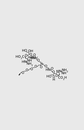 C#CCOCCOCCOCCOCCC(=O)N(CCOCCNC(=O)CO[C@@H]([C@H]1OC(C(=O)O)=C[C@@H](NC(=N)N)[C@@H]1C)[C@H](O)CO)CCOCCNC(=O)CO[C@@H]([C@H]1OC(C(=O)O)=C[C@@H](NC(=N)N)[C@@H]1NC(C)=O)[C@H](O)CO